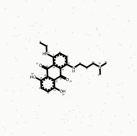 CCNc1ccc(NCCCN(C)C)c2c1C(=O)c1c(O)ccc(O)c1C2=O